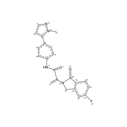 C=C(C(=O)Nc1ccc(-c2ccnn2C)cc1)N1Cc2cc(F)ccc2C1=O